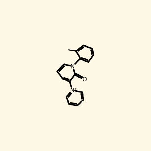 Cc1ccccc1-n1cccc(-[n+]2ccccc2)c1=O